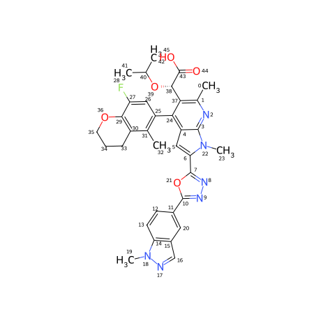 Cc1nc2c(cc(-c3nnc(-c4ccc5c(cnn5C)c4)o3)n2C)c(-c2cc(F)c3c(c2C)CCCO3)c1[C@H](OC(C)C)C(=O)O